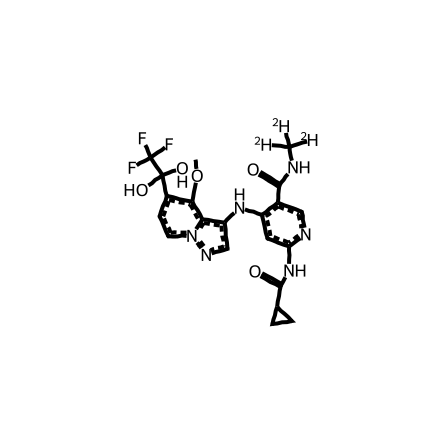 [2H]C([2H])([2H])NC(=O)c1cnc(NC(=O)C2CC2)cc1Nc1cnn2ccc(C(O)(O)C(F)(F)F)c(OC)c12